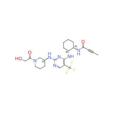 CC#CC(=O)N[C@@H]1CCCC[C@H]1Nc1nc(N[C@H]2CCCN(C(=O)CO)C2)ncc1C(F)(F)F